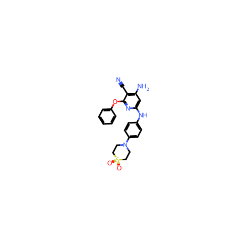 N#Cc1c(N)cc(Nc2ccc(N3CCS(=O)(=O)CC3)cc2)nc1Oc1ccccc1